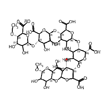 CO[C@@H]1O[C@@H](C(=O)O)[C@@H](OC2OC(C(=O)O)[C@@H](O[C@@H]3O[C@@H](C(=O)O)[C@@H](O[C@@H]4OC(C(=O)O)[C@@H](O[C@@H]5OC(C(=O)O)[C@@H](O[C@@H]6OC(C(=O)O)[C@@H](OC)[C@@H](O)C6O)C(O)C5O)[C@H](O)C4O)C(O)C3O)[C@@H](O)C2O)C(O)C1O